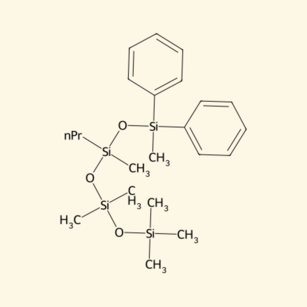 CCC[Si](C)(O[Si](C)(C)O[Si](C)(C)C)O[Si](C)(c1ccccc1)c1ccccc1